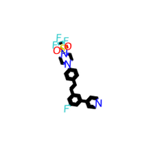 O=S(=O)(N1CCN(c2ccc(/C=C/c3cc(F)cc(-c4ccncc4)c3)cc2)CC1)C(F)(F)F